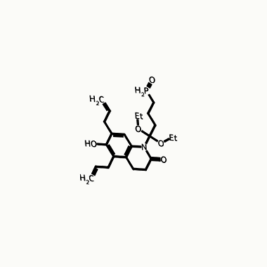 C=CCc1cc2c(c(CC=C)c1O)CCC(=O)N2C(CCC[PH2]=O)(OCC)OCC